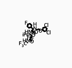 CC(C)[C@H](NC(=O)[C@@H](NC(=O)COc1cc(Cl)cc(Cl)c1)c1ccc(F)cc1)C(=O)C(F)(F)C(=O)NCC(F)(F)F